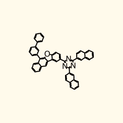 c1ccc(-c2cccc(-c3c4ccccc4cc4c3oc3ccc(-c5nc(-c6ccc7ccccc7c6)nc(-c6ccc7ccccc7c6)n5)cc34)c2)cc1